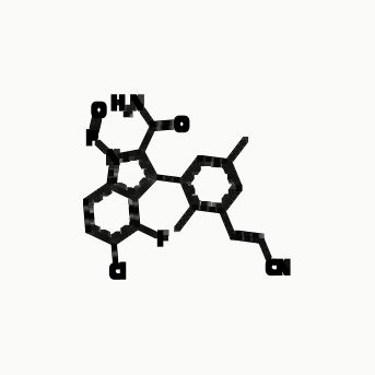 Cc1cc(C=CC#N)c(C)c(-c2c(C(N)=O)n(P=O)c3ccc(Cl)c(F)c23)c1